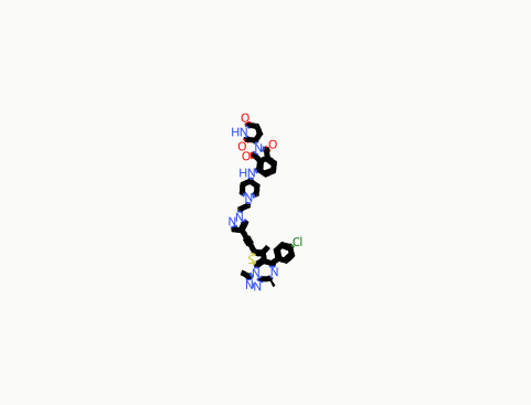 Cc1c(C#Cc2cnn(CCN3CCC(Nc4cccc5c4C(=O)N(C4CCC(=O)NC4=O)C5=O)CC3)c2)sc2c1C(c1ccc(Cl)cc1)=N[C@@H](C)c1nnc(C)n1-2